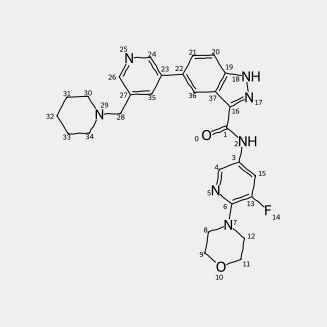 O=C(Nc1cnc(N2CCOCC2)c(F)c1)c1n[nH]c2ccc(-c3cncc(CN4CCCCC4)c3)cc12